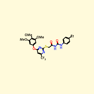 CCc1ccc(NC(=O)NC(=O)CSc2nc(Oc3cc(OC)c(OC)c(OC)c3)cc(C(F)(F)F)n2)cc1